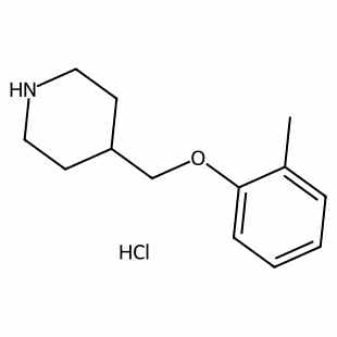 Cc1ccccc1OCC1CCNCC1.Cl